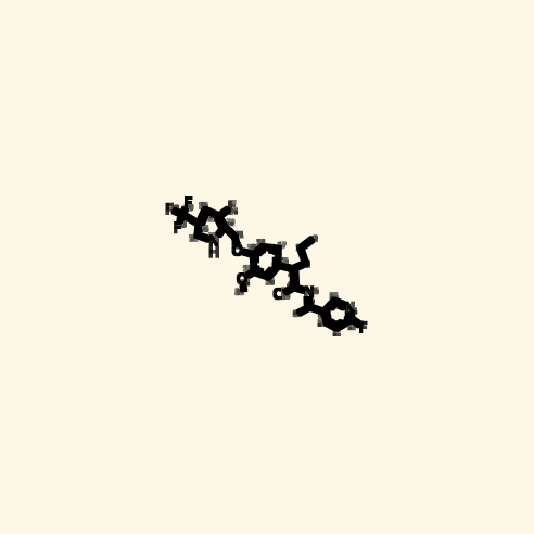 CCC/C(=C(Cl)\N=C(/C)c1ccc(F)nc1)c1ccc(OCC2=C(F)C=C(C(F)(F)F)CN2)c(OC)c1